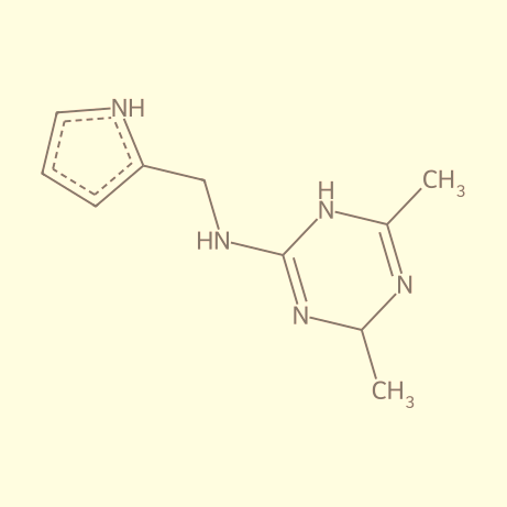 CC1=NC(C)N=C(NCc2ccc[nH]2)N1